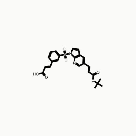 CC(C)(C)OC(=O)C=Cc1cnc2c(ccn2S(=O)(=O)c2cccc(C=CC(=O)O)c2)c1